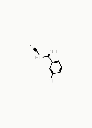 N#CNC(=N)c1cccc(Cl)c1